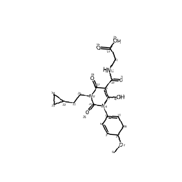 COC1C=CC(n2c(O)c(C(=O)NCC(=O)O)c(=O)n(CCC3CC3)c2=O)=CC1